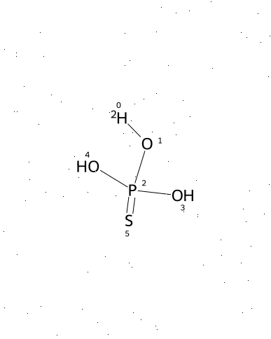 [2H]OP(O)(O)=S